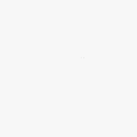 CC(C)=C1CC=CC=C1O